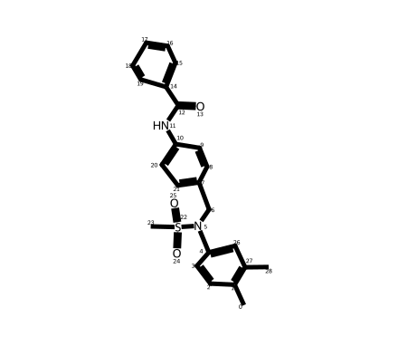 Cc1ccc(N(Cc2ccc(NC(=O)c3ccccc3)cc2)S(C)(=O)=O)cc1C